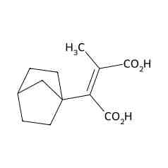 CC(C(=O)O)=C(C(=O)O)C12CCC(CC1)C2